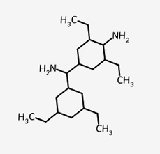 CCC1CC(CC)CC(C(N)C2CC(CC)C(N)C(CC)C2)C1